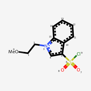 COCCn1cc(S(=O)(=O)Cl)c2ccccc21